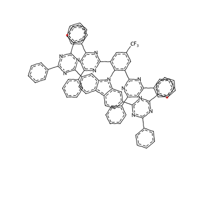 FC(F)(F)c1cc(-c2nc(-c3ccccc3)cc(-c3ccccc3)n2)c(-n2c3cc(-c4nc(-c5ccccc5)nc(-c5ccccc5)n4)ccc3c3ccc(-c4nc(-c5ccccc5)nc(-c5ccccc5)n4)cc32)c(-c2nc(-c3ccccc3)cc(-c3ccccc3)n2)c1